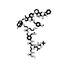 CNCc1cc(NC(=O)[C@H](CCCNC(N)=O)NC(=O)[C@@H](NC(=O)OC(C)(C)C)C(C)C)ccc1COC(=O)N(CCCO)CCO[C@]12C[C@@]3(C)C[C@](C)(C[C@](Cn4ncc(-c5ccc(N6CCCc7c6nnc(Nc6nc8ccccc8s6)c7C)nc5C(=O)OCc5ccc(OC)cc5)c4C)(C3)C1)C2